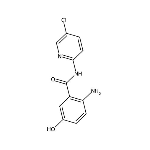 Nc1ccc(O)cc1C(=O)Nc1ccc(Cl)cn1